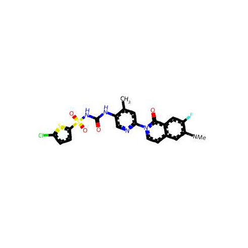 CNc1cc2ccn(-c3cc(C)c(NC(=O)NS(=O)(=O)c4ccc(Cl)s4)cn3)c(=O)c2cc1F